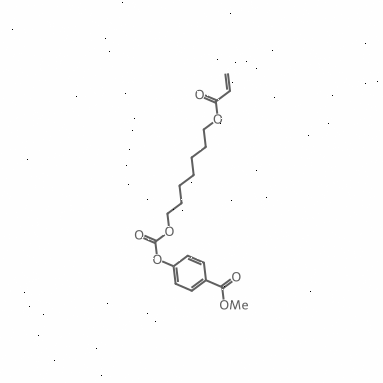 C=CC(=O)OCCCCCCCOC(=O)Oc1ccc(C(=O)OC)cc1